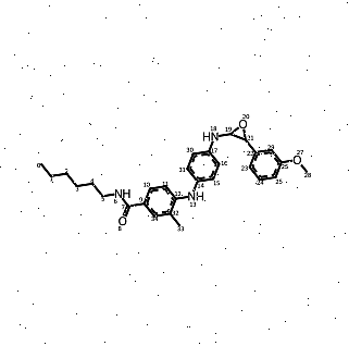 CCCCCCNC(=O)c1ccc(Nc2ccc(NC3OC3c3cccc(OC)c3)cc2)c(C)c1